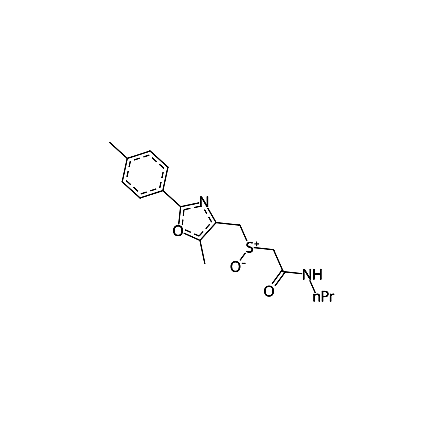 CCCNC(=O)C[S+]([O-])Cc1nc(-c2ccc(C)cc2)oc1C